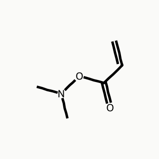 C=CC(=O)ON(C)C